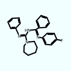 Fc1ccc(/N=C(/N/C(=N\c2ccccc2)N2CCCCCC2)c2ccccc2)cc1